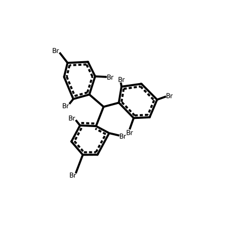 Brc1cc(Br)c([C](c2c(Br)cc(Br)cc2Br)c2c(Br)cc(Br)cc2Br)c(Br)c1